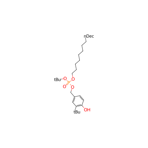 CCCCCCCCCCCCCCCCCCOP(=O)(OCc1ccc(O)c(C(C)(C)C)c1)OC(C)(C)C